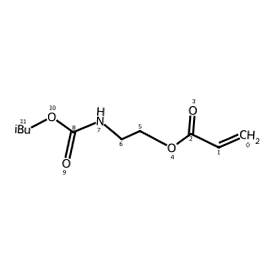 C=CC(=O)OCCNC(=O)OC(C)CC